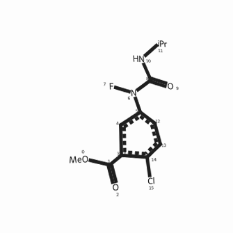 COC(=O)c1cc(N(F)C(=O)NC(C)C)ccc1Cl